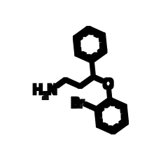 NCCC(Oc1ccccc1Br)c1ccccc1